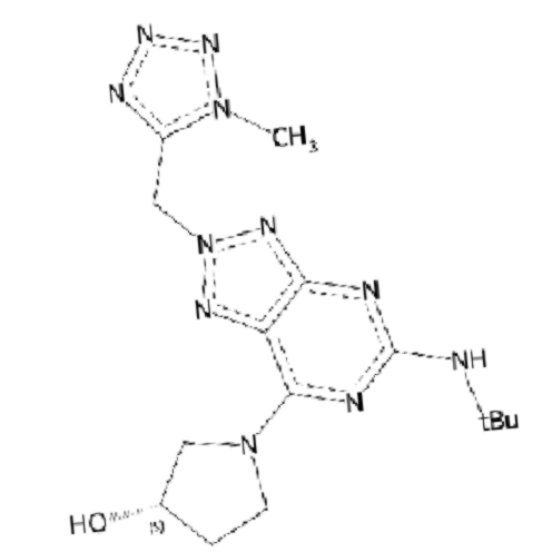 Cn1nnnc1Cn1nc2nc(NC(C)(C)C)nc(N3CC[C@H](O)C3)c2n1